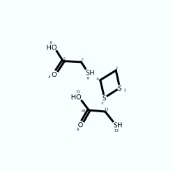 C1CSS1.O=C(O)CS.O=C(O)CS